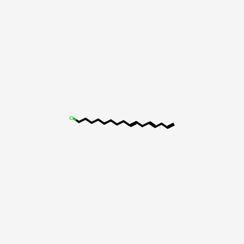 C=CCC=CCC=CCCCCCCCCCl